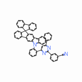 N#Cc1cccc(-c2nc(-c3ccccc3)cc(-c3ccccc3-n3c4ccccc4c4cc5c(cc43)-c3ccccc3C53c4ccccc4-c4ccccc43)n2)c1